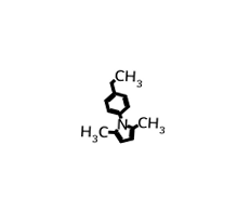 CCc1ccc(-n2c(C)ccc2C)cc1